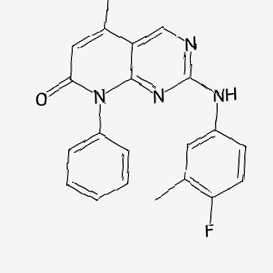 Cc1cc(Nc2ncc3c(C)cc(=O)n(-c4ccccc4)c3n2)ccc1F